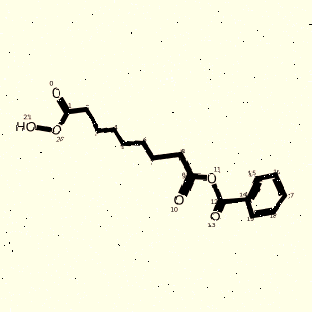 O=C(CCCCCCCC(=O)OC(=O)c1ccccc1)OO